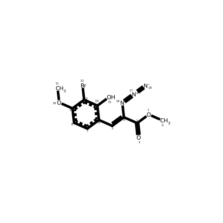 COC(=O)/C(=C/c1ccc(OC)c(Br)c1O)N=[N+]=[N-]